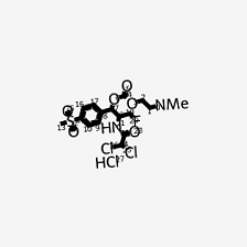 CNCCOC(=O)OC(c1ccc(S(C)(=O)=O)cc1)C(CF)NC(=O)C(Cl)Cl.Cl